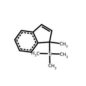 C[C]1([Ti]([CH3])([CH3])[CH3])C=Cc2ccccc21